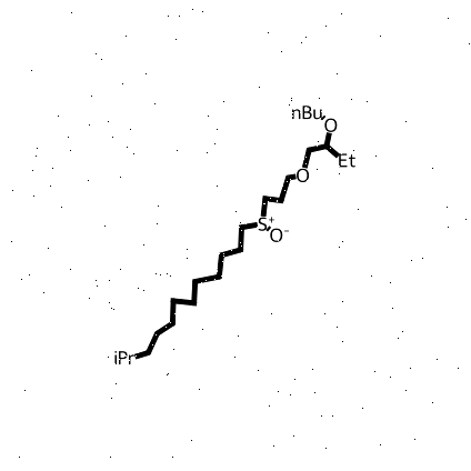 CCCCOC(CC)COCCC[S+]([O-])CCCCCCCCCCC(C)C